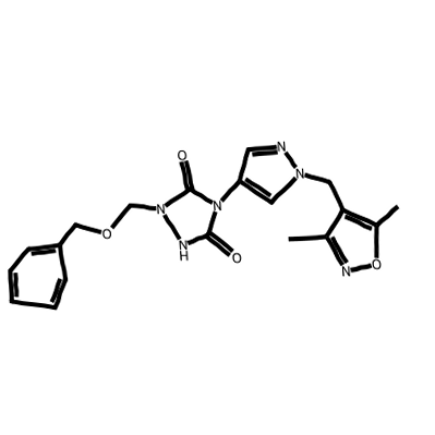 Cc1noc(C)c1Cn1cc(-n2c(=O)[nH]n(COCc3ccccc3)c2=O)cn1